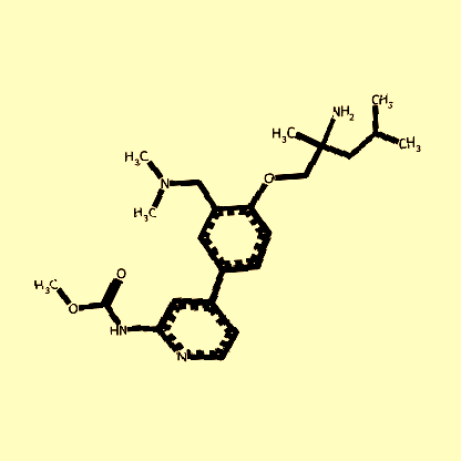 COC(=O)Nc1cc(-c2ccc(OCC(C)(N)CC(C)C)c(CN(C)C)c2)ccn1